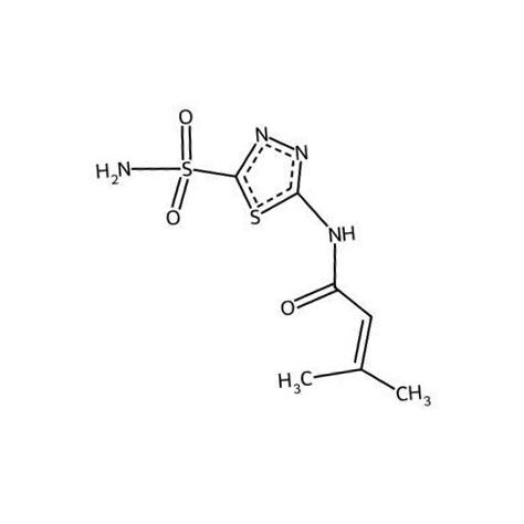 CC(C)=CC(=O)Nc1nnc(S(N)(=O)=O)s1